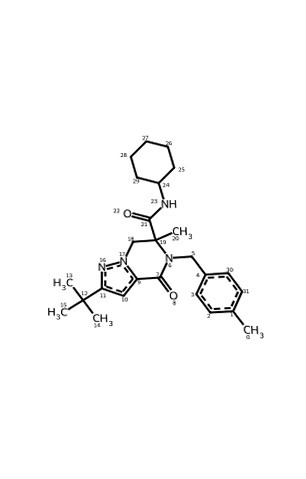 Cc1ccc(CN2C(=O)c3cc(C(C)(C)C)nn3CC2(C)C(=O)NC2CCCCC2)cc1